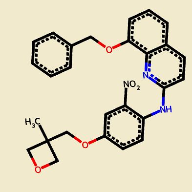 CC1(COc2ccc(Nc3ccc4cccc(OCc5ccccc5)c4n3)c([N+](=O)[O-])c2)COC1